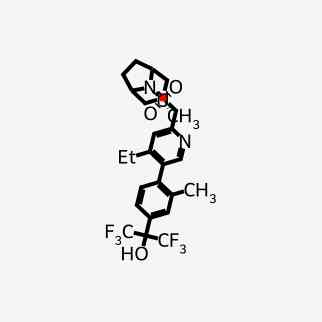 CCc1cc(CN2CC3CCC(C2)N3S(C)(=O)=O)ncc1-c1ccc(C(O)(C(F)(F)F)C(F)(F)F)cc1C